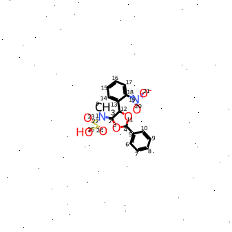 CN(C1OC(c2ccccc2)OC1c1ccccc1[N+](=O)[O-])S(=O)(=O)O